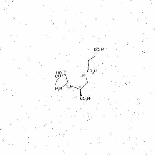 CC(C)C[C@H](N)C(=O)O.CO.NCC(=O)O.O=C(O)CCC(=O)O